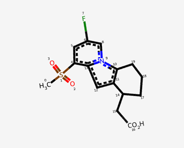 CS(=O)(=O)c1cc(F)cn2c3c(cc12)C(CC(=O)O)CCC3